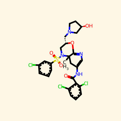 CC12CC(NC(=O)c3c(Cl)cccc3Cl)=CN=C1O[C@@H](CN1CC[C@@H](O)C1)CN2S(=O)(=O)c1cccc(Cl)c1